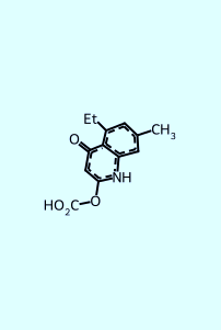 CCc1cc(C)cc2[nH]c(OC(=O)O)cc(=O)c12